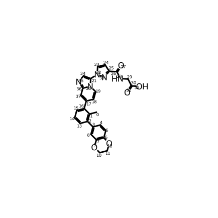 Cc1c(-c2ccc3c(c2)OCCO3)cccc1-c1ccn2c(-n3ccc(C(=O)NCC(=O)O)n3)cnc2c1